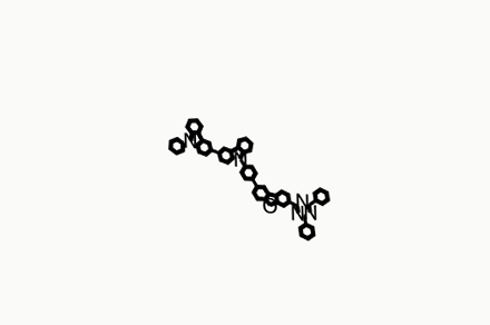 c1ccc(-c2nc(-c3ccccc3)nc(-c3ccc4c(c3)oc3ccc(-c5ccc(-n6c7ccccc7c7cc(-c8ccc9c(c8)c8ccccc8n9-c8ccccc8)ccc76)cc5)cc34)n2)cc1